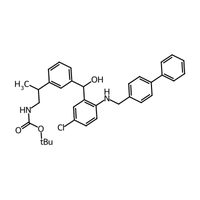 CC(CNC(=O)OC(C)(C)C)c1cccc(C(O)c2cc(Cl)ccc2NCc2ccc(-c3ccccc3)cc2)c1